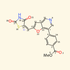 COC(=O)c1ccc(-c2cncc3cc(/C=C4/SC(=O)NC4=O)oc23)cc1